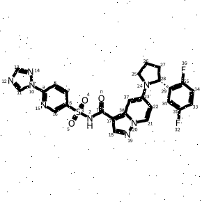 O=C(NS(=O)(=O)c1ccc(-n2cncn2)nc1)c1cnn2ccc(N3CCC[C@@H]3c3cc(F)ccc3F)cc12